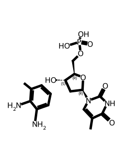 Cc1cccc(N)c1N.Cc1cn([C@H]2C[C@H](O)[C@@H](COP(=O)(O)O)O2)c(=O)[nH]c1=O